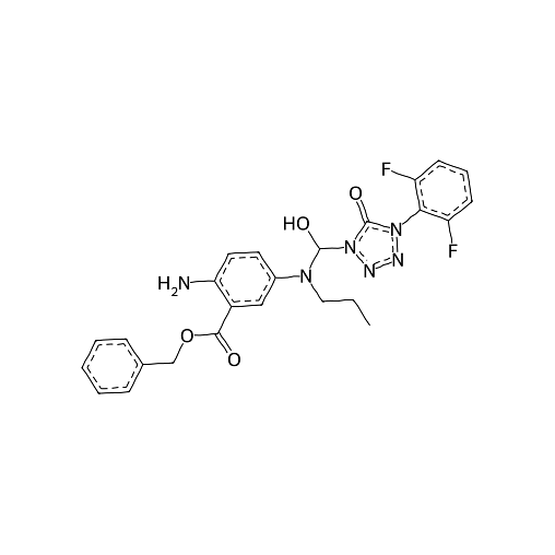 CCCN(c1ccc(N)c(C(=O)OCc2ccccc2)c1)C(O)n1nnn(-c2c(F)cccc2F)c1=O